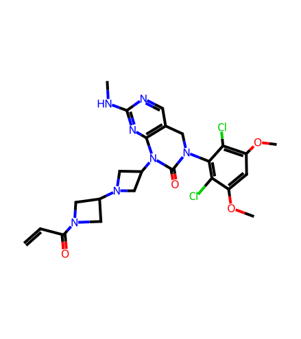 C=CC(=O)N1CC(N2CC(N3C(=O)N(c4c(Cl)c(OC)cc(OC)c4Cl)Cc4cnc(NC)nc43)C2)C1